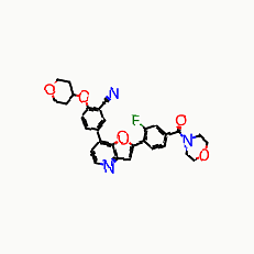 N#Cc1cc(-c2ccnc3cc(-c4ccc(C(=O)N5CCOCC5)cc4F)oc23)ccc1OC1CCOCC1